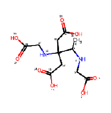 CC(NCC(=O)O)C(CC(=O)O)(CC(=O)O)NCC(=O)O